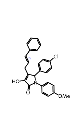 COc1ccc(N2C(=O)C(O)=C(C/C=C/c3ccccc3)C2c2ccc(Cl)cc2)cc1